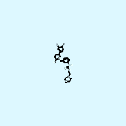 O=C(Nc1cccc(Cn2nc(-c3ccc(F)c(F)c3)ccc2=O)c1)OCCN1CCOCC1